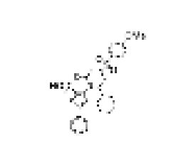 COc1ccc(S(=O)(=O)N2CC(=O)N(c3cc(-c4ccccc4)sc3C(=O)O)C(C3CCCCC3)C2)cc1